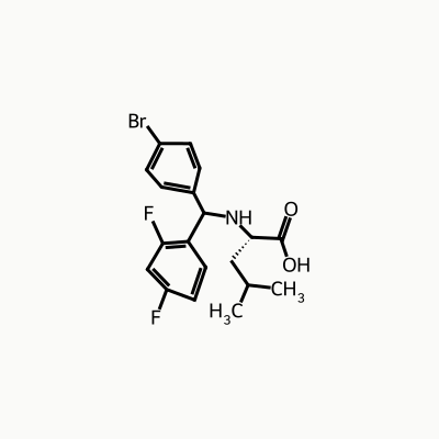 CC(C)C[C@H](NC(c1ccc(Br)cc1)c1ccc(F)cc1F)C(=O)O